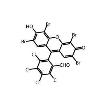 O=Cc1c(Cl)c(Cl)c(Cl)c(Cl)c1-c1c2cc(Br)c(=O)c(Br)c-2oc2c(Br)c(O)c(Br)cc12